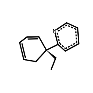 CC[C@]1(c2ccccn2)C=CC=CC1